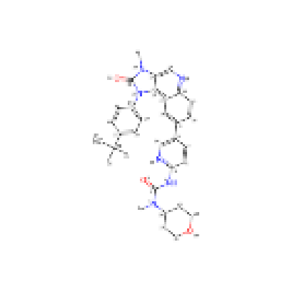 CN(C(=O)Nc1ccc(-c2ccc3ncc4c(c3c2)n(-c2ccc(C(C)(C)C#N)cc2)c(=O)n4C)cn1)C1CCOCC1